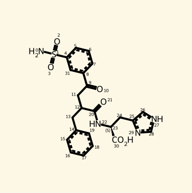 NS(=O)(=O)c1cccc(C(=O)CC(Cc2ccccc2)C(=O)N[C@@H](Cc2c[nH]cn2)C(=O)O)c1